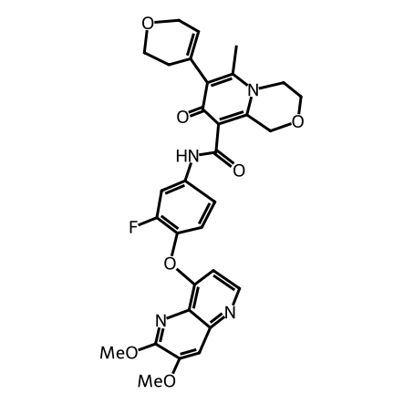 COc1cc2nccc(Oc3ccc(NC(=O)c4c5n(c(C)c(C6=CCOCC6)c4=O)CCOC5)cc3F)c2nc1OC